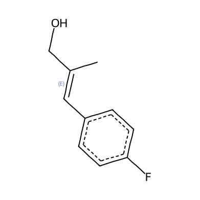 C/C(=C\c1ccc(F)cc1)CO